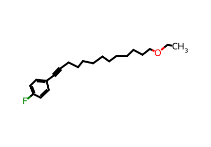 CCOCCCCCCCCCCCC#Cc1ccc(F)cc1